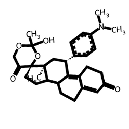 CN(C)c1ccc([C@H]2C[C@@]3(C)C(CC[C@@]34OC(C)(O)OCC4=O)C3CCC4=CC(=O)CCC4=C32)cc1